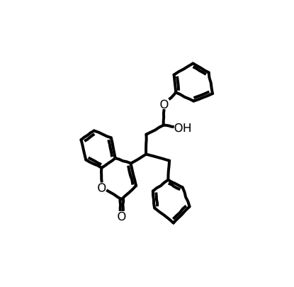 O=c1cc(C(Cc2ccccc2)CC(O)Oc2ccccc2)c2ccccc2o1